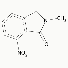 CN1Cc2[c]ccc([N+](=O)[O-])c2C1=O